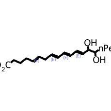 CCCCCC(O)C(O)/C=C/C=C/C=C/C/C=C/CCCC(=O)O